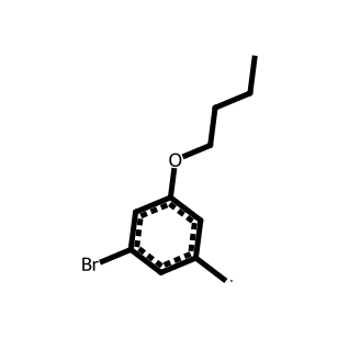 [CH2]c1cc(Br)cc(OCCCC)c1